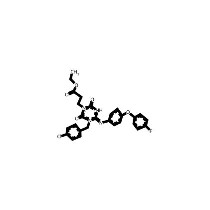 CCOC(=O)CCn1c(=O)[nH]/c(=N\c2ccc(Oc3ccc(F)cc3)cc2)n(Cc2ccc(Cl)cc2)c1=O